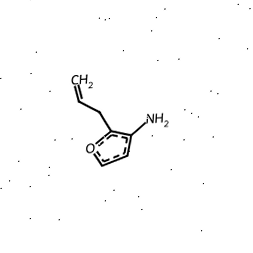 C=CCc1occc1N